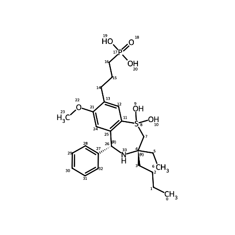 CCCC[C@]1(CC)CS(O)(O)c2cc(CCCP(=O)(O)O)c(OC)cc2[C@@H](c2ccccc2)N1